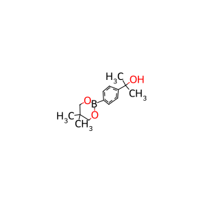 CC1(C)COB(c2ccc(C(C)(C)O)cc2)OC1